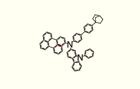 c1ccc(-c2cccc3cccc(-c4ccc(N(c5ccc(-c6ccc(C78CCC(CC7)C8)cc6)cc5)c5ccc6c7ccccc7n(-c7ccccc7)c6c5)cc4)c23)cc1